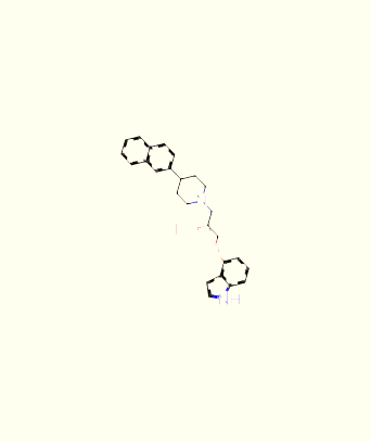 O[C@H](COc1cccc2[nH]ccc12)CN1CCC(c2ccc3ccccc3c2)CC1